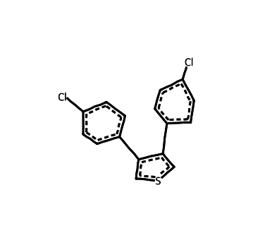 Clc1ccc(-c2cscc2-c2ccc(Cl)cc2)cc1